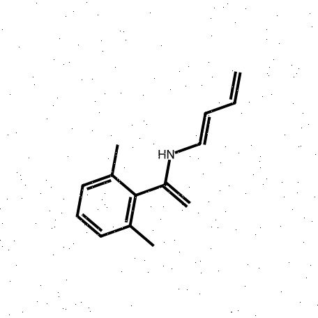 C=C/C=C/NC(=C)c1c(C)cccc1C